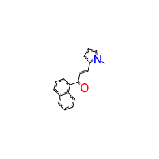 Cn1cccc1/C=C/C(=O)c1cccc2ccccc12